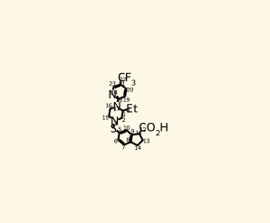 CCC1CN(Sc2ccc3c(c2)C(C(=O)O)CC3)CCN1c1ccc(C(F)(F)F)cn1